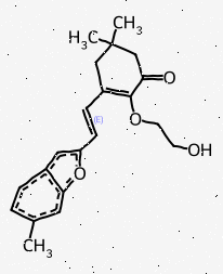 Cc1ccc2cc(/C=C/C3=C(OCCO)C(=O)CC(C)(C)C3)oc2c1